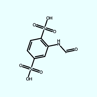 O=[C]Nc1cc(S(=O)(=O)O)ccc1S(=O)(=O)O